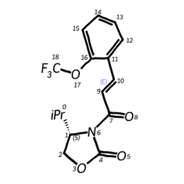 CC(C)[C@H]1COC(=O)N1C(=O)/C=C/c1ccccc1OC(F)(F)F